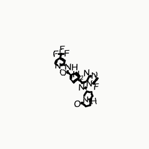 Nc1ncc(F)n2c([C@@H]3CC[C@H]4CCC(=O)N4C3)nc(-c3ccc(C(=O)Nc4cc(C(F)(F)F)ccn4)cc3)c12